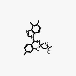 Cc1ccc2c(c1)OC(C)(CS(C)(=O)=O)N=C2n1cnc2c(C)c(C)ccc21